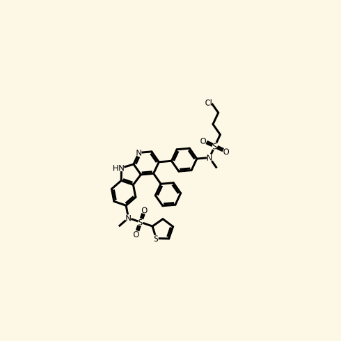 CN(c1ccc(-c2cnc3[nH]c4ccc(N(C)S(=O)(=O)C5CC=CS5)cc4c3c2-c2ccccc2)cc1)S(=O)(=O)CCCCl